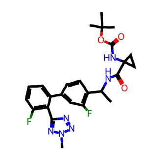 CC(NC(=O)C1(NC(=O)OC(C)(C)C)CC1)c1ccc(-c2cccc(F)c2-c2nnn(C)n2)cc1F